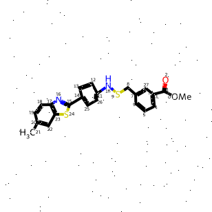 COC(=O)c1cccc(CSNc2ccc(-c3nc4ccc(C)cc4s3)cc2)c1